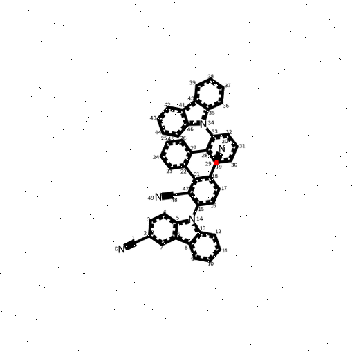 N#Cc1ccc2c(c1)c1ccccc1n2-c1ccc(C#N)c(-c2ccccc2-c2ccccc2-n2c3ccccc3c3ccccc32)c1C#N